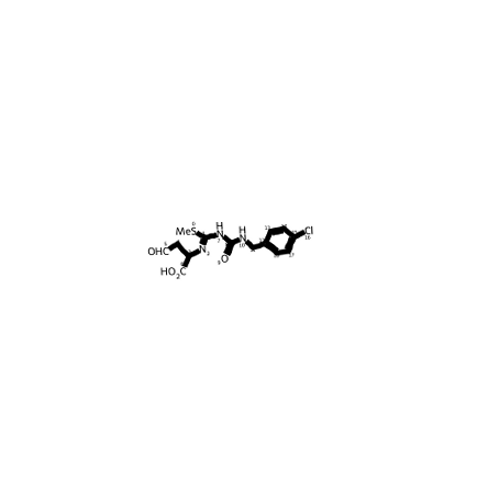 CSC(=NC(CC=O)C(=O)O)NC(=O)NCc1ccc(Cl)cc1